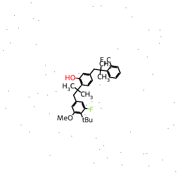 COc1cc(CC(C)(C)c2ccc(CC(C)(C)c3ccccc3C(F)(F)F)cc2O)cc(F)c1C(C)(C)C